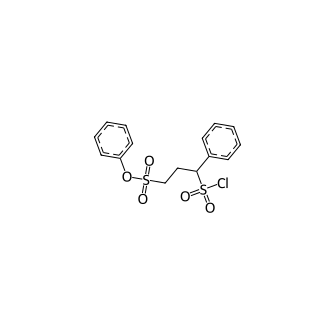 O=S(=O)(CCC(c1ccccc1)S(=O)(=O)Cl)Oc1ccccc1